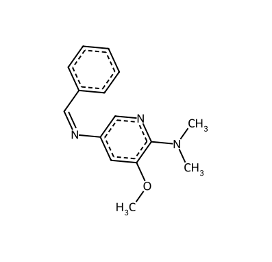 COc1cc(/N=C\c2ccccc2)cnc1N(C)C